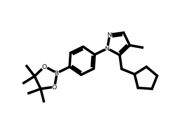 Cc1cnn(-c2ccc(B3OC(C)(C)C(C)(C)O3)cc2)c1C[C]1CCCC1